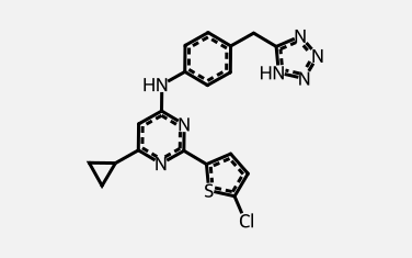 Clc1ccc(-c2nc(Nc3ccc(Cc4nnn[nH]4)cc3)cc(C3CC3)n2)s1